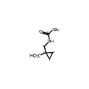 CC(C)(C)C(=O)NCC1(C(=O)O)CC1